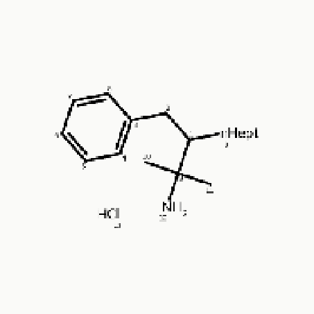 CCCCCCCC(Cc1ccccc1)C(C)(C)N.Cl